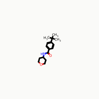 CC(C)(C)c1ccc(C(=O)NC2CCOCC2)cc1